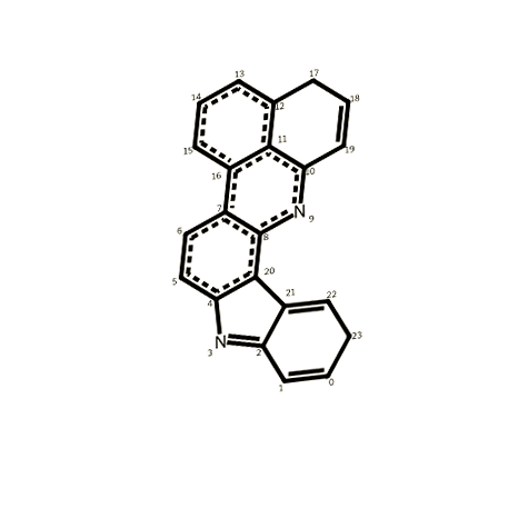 C1=CC2=Nc3ccc4c(nc5c6c(cccc64)CC=C5)c3C2=CC1